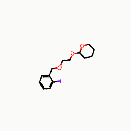 Ic1ccccc1COCCOC1CCCCO1